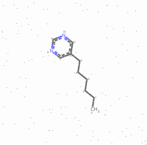 CCCCCCc1cncnc1